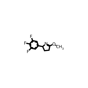 COC1=NC(c2cc(F)c(F)c(F)c2)CC1